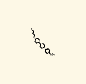 CCCCc1ccc([C@H]2CC[C@H]([C@H]3CC[C@H](CCC=CF)CC3)CC2)cc1